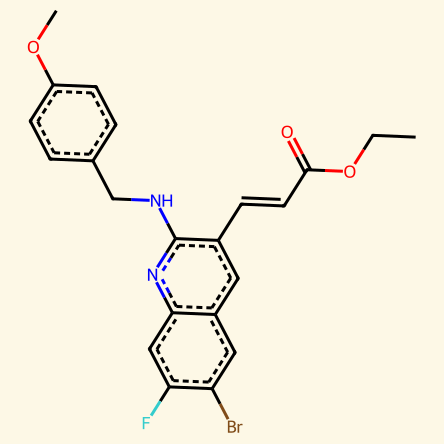 CCOC(=O)C=Cc1cc2cc(Br)c(F)cc2nc1NCc1ccc(OC)cc1